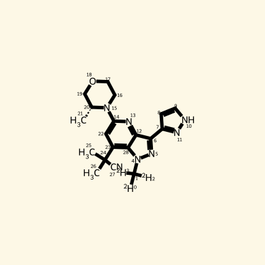 [2H]C([2H])([2H])n1nc(-c2cc[nH]n2)c2nc(N3CCOC[C@H]3C)cc(C(C)(C)C#N)c21